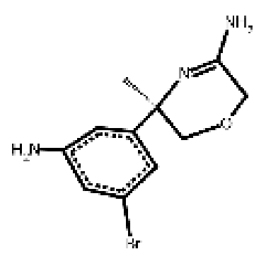 C[C@@]1(c2cc(N)cc(Br)c2)COCC(N)=N1